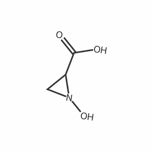 O=C(O)C1CN1O